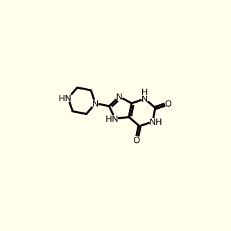 O=c1[nH]c(=O)c2[nH]c(N3CCNCC3)nc2[nH]1